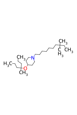 CCCC(C)(CCC)OC1CCN(CCCCCCCC(C)(C)CC)CC1